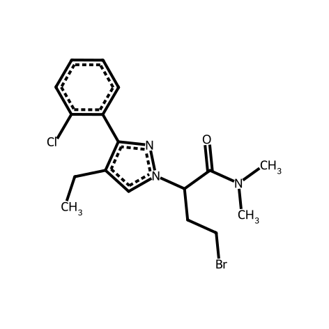 CCc1cn(C(CCBr)C(=O)N(C)C)nc1-c1ccccc1Cl